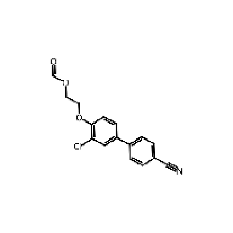 N#Cc1ccc(-c2ccc(OCCOC=O)c(Cl)c2)cc1